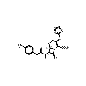 Nc1ccc(CC(=O)N[C@@H]2C(=O)N3C(C(=O)O)=C(Sc4nncs4)CS[C@@H]23)cc1